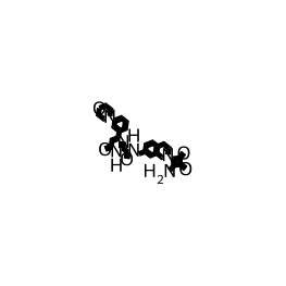 Nc1c(N2CCc3ccc(CNC(=O)c4nc(-c5cccc(N6CCOCC6)c5)cc(=O)[nH]4)cc3C2)c(=O)c1=O